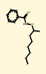 CCCCCCC(C)ONC(=O)c1ccccc1